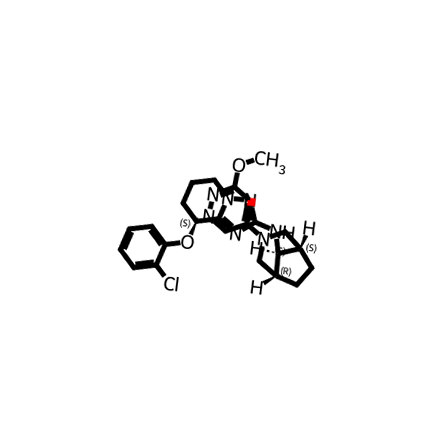 COc1cc(N2C[C@H]3CC[C@@H](C2)[C@@H]3Nc2nc3n(n2)CCC[C@@H]3Oc2ccccc2Cl)cnn1